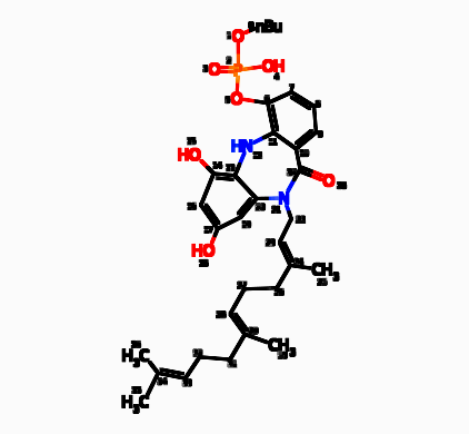 CCCCOP(=O)(O)Oc1cccc2c1Nc1c(O)cc(O)cc1N(C/C=C(\C)CC/C=C(\C)CCC=C(C)C)C2=O